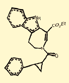 CCOC(=O)C1=CN(C(=O)C2CC2c2ccccc2)CCc2c1[nH]c1ccccc21